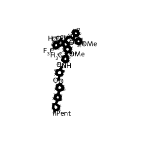 CCCCCC1CCC(c2ccc(-c3ccc(OC(=O)C4CCC(C(=O)Nc5ccc(-c6cc7c8c(c9c(c7cc6OC)OC(c6ccccc6)(c6ccc(OC)cc6)C=C9)C(C)(C)c6c-8cc(C(F)(F)F)cc6C(F)(F)F)c(C)c5)CC4)cc3)cc2)CC1